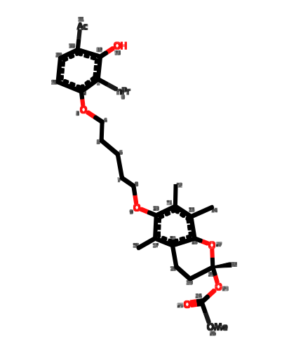 CCCc1c(OCCCCCOc2c(C)c(C)c3c(c2C)CC[C@@](C)(OC(=O)OC)O3)ccc(C(C)=O)c1O